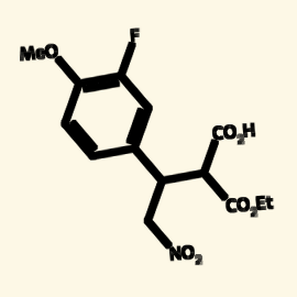 CCOC(=O)C(C(=O)O)C(C[N+](=O)[O-])c1ccc(OC)c(F)c1